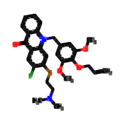 C=CCOc1c(OC)cc(Cn2c3ccccc3c(=O)c3cc(F)c(SCCN(C)C)cc32)cc1OC